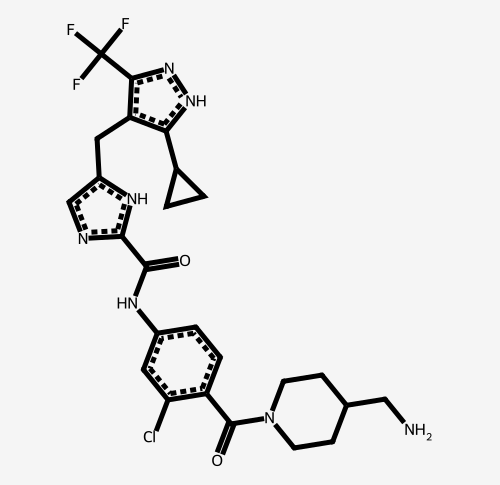 NCC1CCN(C(=O)c2ccc(NC(=O)c3ncc(Cc4c(C(F)(F)F)n[nH]c4C4CC4)[nH]3)cc2Cl)CC1